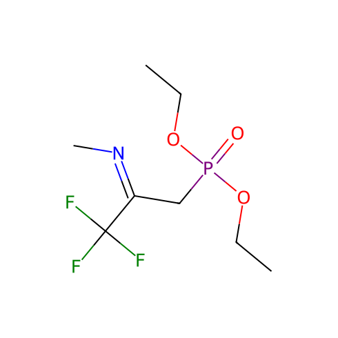 CCOP(=O)(CC(=NC)C(F)(F)F)OCC